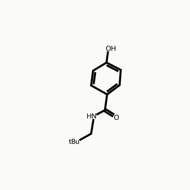 CC(C)(C)CNC(=O)c1ccc(O)cc1